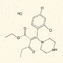 CCOC(=O)C(C(=O)CC)=C(c1ccc(Cl)cc1Cl)N1CCNCC1.Cl